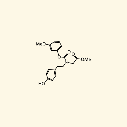 COC(=O)CN(CCc1ccc(O)cc1)C(=O)Oc1cccc(OC)c1